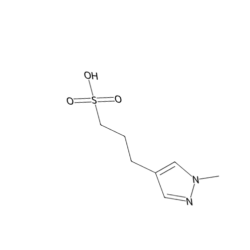 Cn1cc(CCCS(=O)(=O)O)cn1